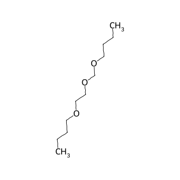 CCCCOCCOCOCCCC